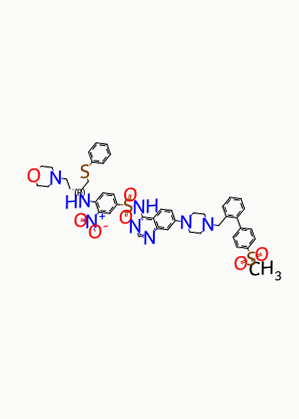 CS(=O)(=O)c1ccc(-c2ccccc2CN2CCN(c3ccc4c(NS(=O)(=O)c5ccc(N[C@H](CCN6CCOCC6)CSc6ccccc6)c([N+](=O)[O-])c5)ncnc4c3)CC2)cc1